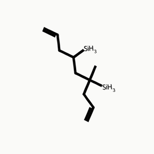 C=CCC([SiH3])CC(C)([SiH3])CC=C